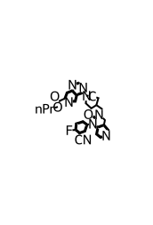 CCCOC(=O)c1cc2ncnc(N3CCC(CN4Cc5cnccc5N(c5ccc(F)c(C#N)c5)C4=O)CC3)c2cn1